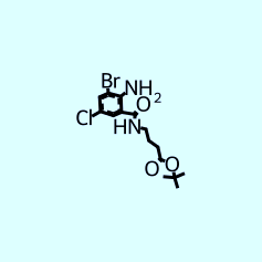 CC(C)(C)OC(=O)CCCNC(=O)c1cc(Cl)cc(Br)c1N